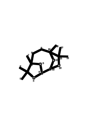 CC1(C)OB2OC1(C)CCC1(C)OB2OC1(C)C